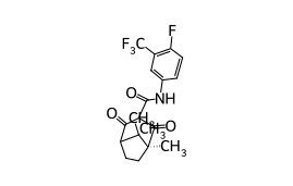 CC1(C)C2CC[C@]1(C)C(=O)C(C(=O)Nc1ccc(F)c(C(F)(F)F)c1)C2=O